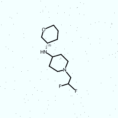 FC(F)CN1CCC(N[C@H]2CCCOC2)CC1